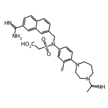 CC(=N)N1CCCN(c2ccc(N(Cc3ccc4ccc(C(=N)N)cc4c3)S(=O)(=O)CC(=O)O)cc2F)CC1